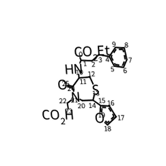 CCOC(=O)C(CCc1ccccc1)NC1CSC(c2ccco2)CN(CC(=O)O)C1=O